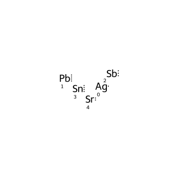 [Ag].[Pb].[Sb].[Sn].[Sr]